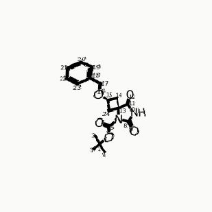 CC(C)(C)OC(=O)N1C(=O)NC(=O)[C@]12C[C@H](OCc1ccccc1)C2